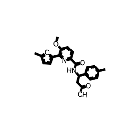 COc1ccc(C(=O)NC(CC(=O)O)c2ccc(C)cc2)nc1-c1ccc(C)o1